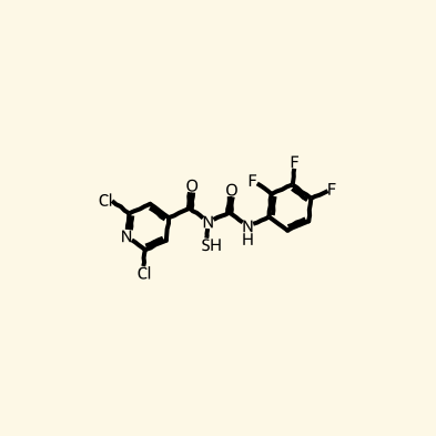 O=C(Nc1ccc(F)c(F)c1F)N(S)C(=O)c1cc(Cl)nc(Cl)c1